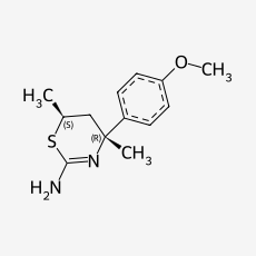 COc1ccc([C@@]2(C)C[C@H](C)SC(N)=N2)cc1